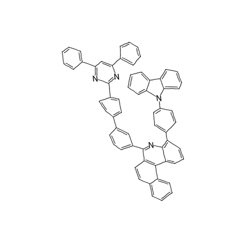 c1ccc(-c2cc(-c3ccccc3)nc(-c3ccc(-c4cccc(-c5nc6c(-c7ccc(-n8c9ccccc9c9ccccc98)cc7)cccc6c6c5ccc5ccccc56)c4)cc3)n2)cc1